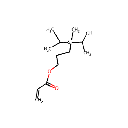 C=CC(=O)OCCC[Si](C)(C(C)C)C(C)C